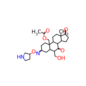 CC(=O)OCC12CCC(=NOC3CCNC3)CC1C(CO)C(=O)C1C3CCC(=O)C3(C)CCC12